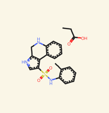 CCC(=O)O.Cc1ccccc1NS(=O)(=O)c1c[nH]c2c1-c1ccccc1NC2